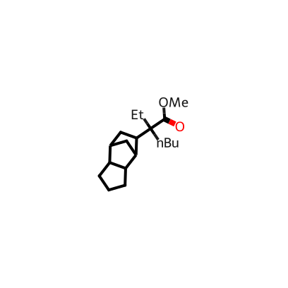 CCCCC(CC)(C(=O)OC)C1CC2CC1C1CCCC21